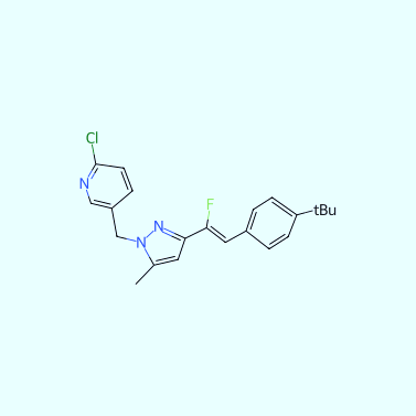 Cc1cc(C(F)=Cc2ccc(C(C)(C)C)cc2)nn1Cc1ccc(Cl)nc1